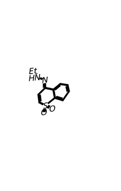 CCNN=C1C=CS(=O)(=O)c2ccccc21